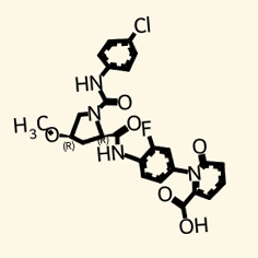 CO[C@@H]1C[C@H](C(=O)Nc2ccc(-n3c(C(=O)O)cccc3=O)cc2F)N(C(=O)Nc2ccc(Cl)cc2)C1